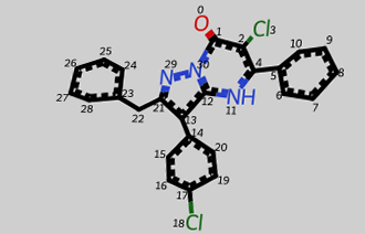 O=c1c(Cl)c(-c2ccccc2)[nH]c2c(-c3ccc(Cl)cc3)c(Cc3ccccc3)nn12